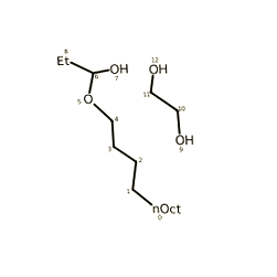 CCCCCCCCCCCCOC(O)CC.OCCO